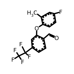 Cc1cc(F)ccc1Oc1cc(C(F)(F)C(F)(F)F)ccc1C=O